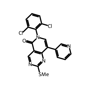 CSc1ncc2c(=O)n(-c3c(Cl)cccc3Cl)cc(-c3cccnc3)c2n1